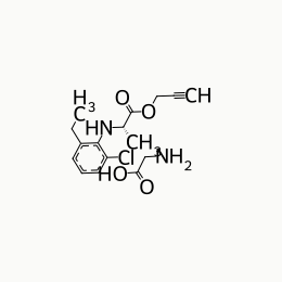 C#CCOC(=O)[C@H](C)Nc1c(Cl)cccc1CC.NCC(=O)O